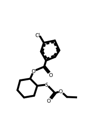 CCOC(=O)SC1CCCCC1OC(=O)c1cccc(Cl)c1